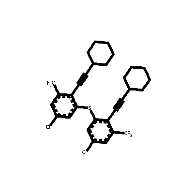 FC(F)(F)c1cc(Cl)cc(Sc2cc(Cl)cc(C(F)(F)F)c2C#CC2CCCCC2)c1C#CC1CCCCC1